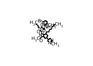 C=CCCCCCCc1cc(-c2cnc(C)nc2)cc2c(C(C)=O)nn(CC(=O)N(CCC=C)C(C)C(=O)Nc3nc(Br)ccc3C)c12